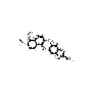 COc1ccc2c(Oc3cc4sc(N)nc4cc3F)ccnc2c1OC